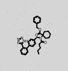 CCCCC(=O)N(Cc1ccc(-c2ccccc2-c2nnn[nH]2)cc1)C1(C(=O)OCc2ccccc2)CCCCC1